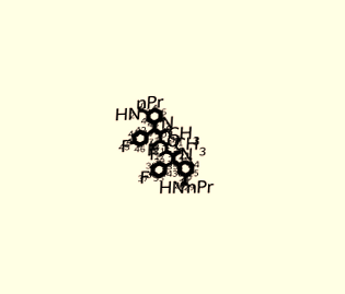 CCCC(=N)c1ccc2nc(C)c(C(CF)C(=O)C(CF)c3c(C)nc4ccc(C(=N)CCC)cc4c3-c3ccc(F)cc3)c(-c3ccc(F)cc3)c2c1